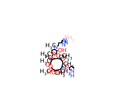 Bn1cc(CCN(C)[C@H]2C[C@@H](C)O[C@@H](O[C@@H]3[C@H](C)C(=O)[C@@H](C)C(=O)O[C@H](CC)[C@@](C)(O)[C@H](O)[C@@H](C)/C(=N/O[C@@H]4CCNC4)[C@H](C)C[C@@]3(C)OC)[C@@H]2O)nn1